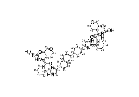 COC(=O)N[C@H](C(=O)N1CCCC[C@H]1c1nc(-c2ccc3cc(-c4ccc(-c5c[nH]c([C@@H]6CCCCN6C(=O)[C@@H](NC(=O)O)C6CCOCC6)n5)cc4)ccc3c2)c[nH]1)C1CCOCC1